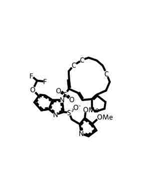 COc1ccnc(C[S+]([O-])c2nc3ccc(OC(F)F)cc3n2S(=O)(=O)C2=C/CCCCCCCCCC3=C(\C=C\2)CCCC3)c1OC